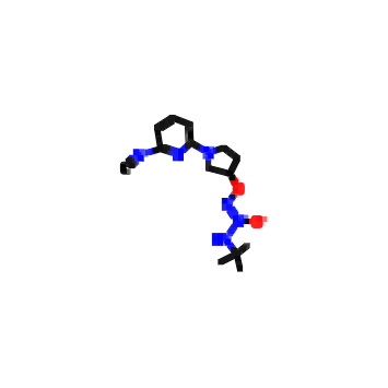 [C-]#[N+]c1cccc(N2CC[C@@H](O/N=[N+](\[O-])NC(C)(C)C)C2)n1